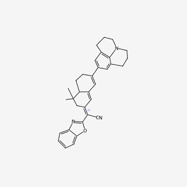 CC1(C)C/C(=C(/C#N)c2nc3ccccc3o2)C=C2C=C(c3cc4c5c(c3)CCCN5CCC4)CCC21